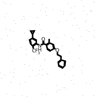 Cc1cc(OCCc2ccccc2)ccc1C(=O)Nc1cc(C2CC2)ccc1C(F)(F)F